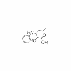 CCCC(Nc1ccccc1)C(O)C(=O)O